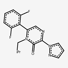 CC(C)Cn1c(-c2c(F)cccc2F)cnc(-n2cccn2)c1=O